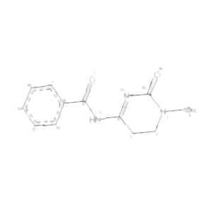 CC(C)(C)N1CCC(NC(=O)c2ccccc2)=NC1=O